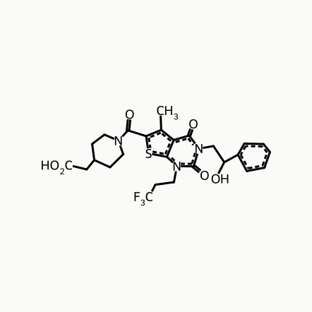 Cc1c(C(=O)N2CCC(CC(=O)O)CC2)sc2c1c(=O)n(CC(O)c1ccccc1)c(=O)n2CCC(F)(F)F